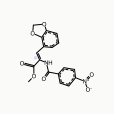 COC(=O)/C(=C/c1cccc2c1OCO2)NC(=O)c1ccc([N+](=O)[O-])cc1